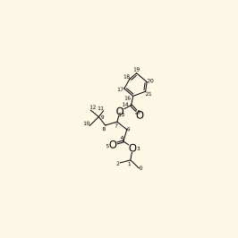 CC(C)OC(=O)CC(CC(C)(C)C)OC(=O)c1ccccc1